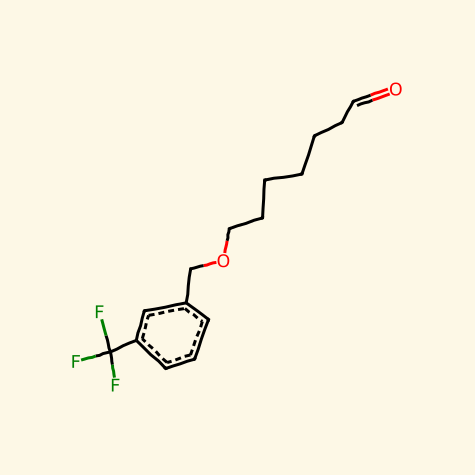 O=CCCCCCCOCc1cccc(C(F)(F)F)c1